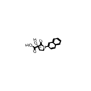 O=C(O)[C@@]1(O)CCN(c2ccc3ccccc3c2)C1=O